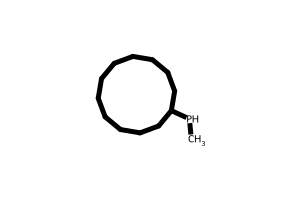 CPC1CCCCCCCCCCC1